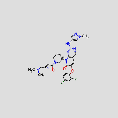 CN(C)C/C=C/C(=O)N1CCC[C@H](n2c(=O)c(Oc3ccc(F)cc3F)cc3cnc(Nc4cnn(C)c4)nc32)C1